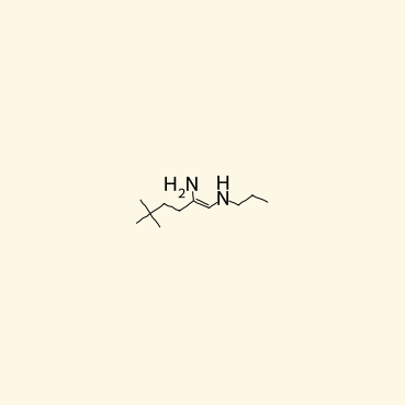 CCCN/C=C(\N)CCC(C)(C)C